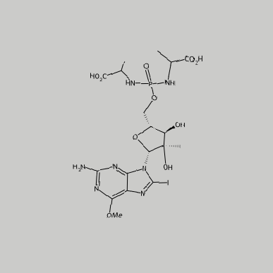 COc1nc(N)nc2c1nc(I)n2[C@@H]1O[C@H](COP(=O)(NC(C)C(=O)O)NC(C)C(=O)O)[C@@H](O)[C@@]1(C)O